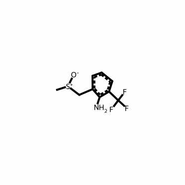 C[S+]([O-])Cc1cccc(C(F)(F)F)c1N